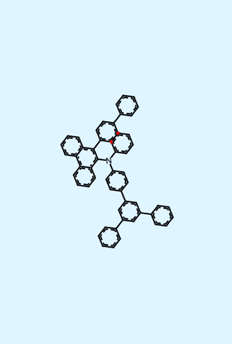 c1ccc(-c2ccc(-c3c(N(c4ccccc4)c4ccc(-c5cc(-c6ccccc6)cc(-c6ccccc6)c5)cc4)c4ccccc4c4ccccc34)cc2)cc1